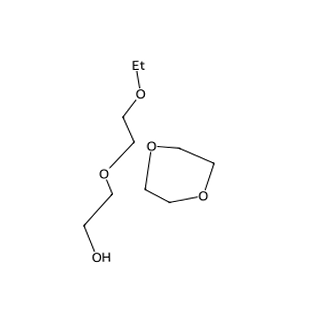 C1COCCO1.CCOCCOCCO